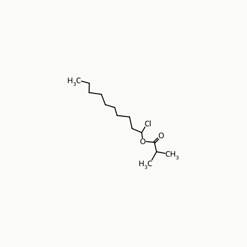 CCCCCCCCCC(Cl)OC(=O)C(C)C